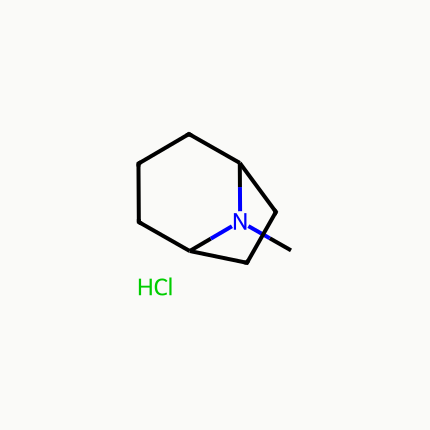 CN1C2CCCC1CC2.Cl